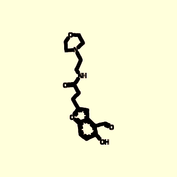 O=Cc1c(O)ccc2oc(CCC(=O)NCCN3CCOCC3)cc12